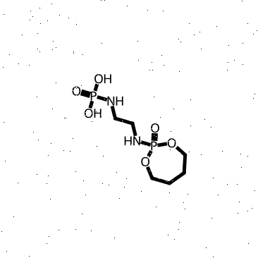 O=P(O)(O)NCCNP1(=O)OCCCCO1